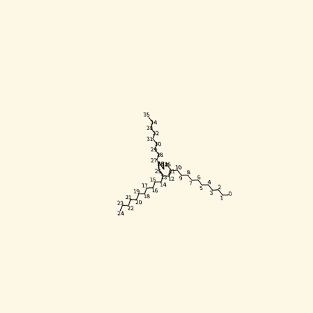 CCCCCCCCCCCc1cc(CCCCCCCCCCC)c[n+](CCCCCCCCC)c1